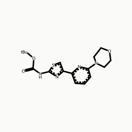 CC(C)(C)OC(=O)Nc1nc(-c2cccc(N3CCOCC3)n2)cs1